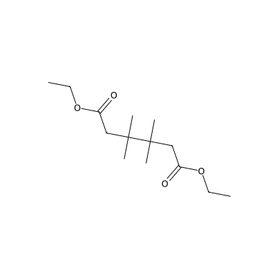 CCOC(=O)CC(C)(C)C(C)(C)CC(=O)OCC